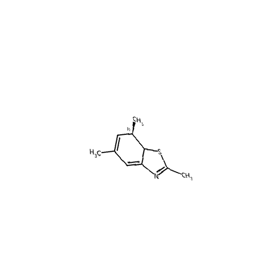 CC1=C[C@@H](C)C2SC(C)=NC2=C1